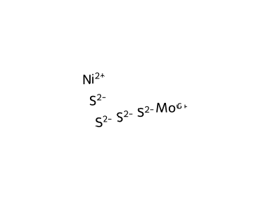 [Mo+6].[Ni+2].[S-2].[S-2].[S-2].[S-2]